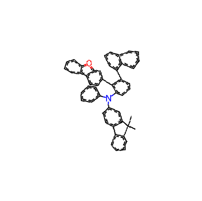 CC1(C)c2ccccc2-c2ccc(N(c3ccccc3)c3cccc(-c4cccc5ccccc45)c3-c3ccc4c(c3)oc3ccccc34)cc21